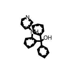 OC(c1ccccc1)(c1ccccc1)c1ccccc1Nc1cccnc1